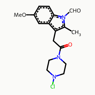 COc1ccc2c(c1)c(CC(=O)N1CCN(Cl)CC1)c(C)n2C=O